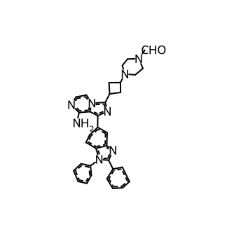 Nc1nccn2c(C3CC(N4CCN(C=O)CC4)C3)nc(-c3ccc4c(c3)nc(-c3ccccc3)n4-c3ccccc3)c12